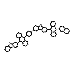 c1ccc2cc(-c3c4ccccc4c(-c4ccc5c(c4)oc4ccc(-c6ccc(-c7c8ccccc8c(-c8ccc9c(c8)oc8ccccc89)c8ccccc78)cc6)cc45)c4ccccc34)ccc2c1